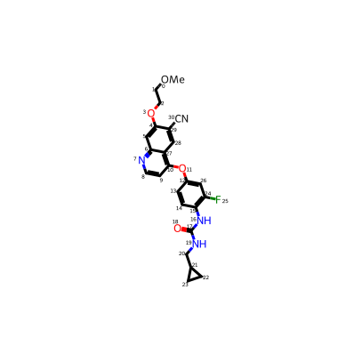 COCCOc1cc2nccc(Oc3ccc(NC(=O)NCC4CC4)c(F)c3)c2cc1C#N